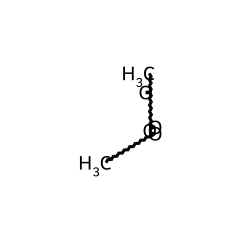 CCCCCCCCCCCCCCCCCC(=O)OC(=O)CCCCCCCCCCC(=O)CCCCCC